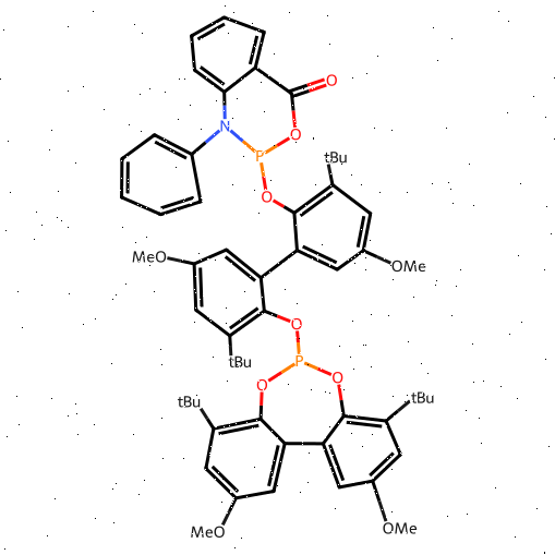 COc1cc(-c2cc(OC)cc(C(C)(C)C)c2Op2oc3c(C(C)(C)C)cc(OC)cc3c3cc(OC)cc(C(C)(C)C)c3o2)c(OP2OC(=O)c3ccccc3N2c2ccccc2)c(C(C)(C)C)c1